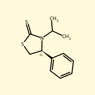 CC(C)N1C(=S)SC[C@@H]1c1ccccc1